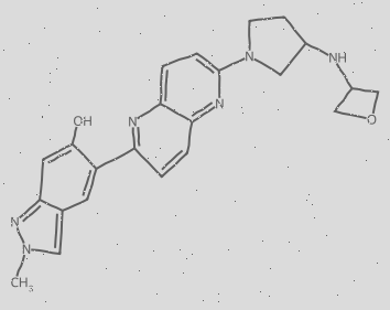 Cn1cc2cc(-c3ccc4nc(N5CCC(NC6COC6)C5)ccc4n3)c(O)cc2n1